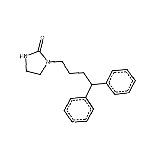 O=C1NCCN1CCCC(c1ccccc1)c1ccccc1